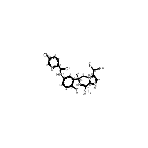 C[C@@]1(c2cc(NC(=O)c3ccc(Cl)cn3)ccc2F)Cn2c(C(F)F)cnc2C(N)=N1